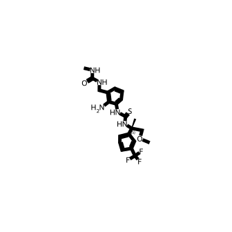 CNC(=O)NCc1cccc(NC(=S)N[C@](C)(COC)c2cccc(C(F)(F)F)c2)c1N